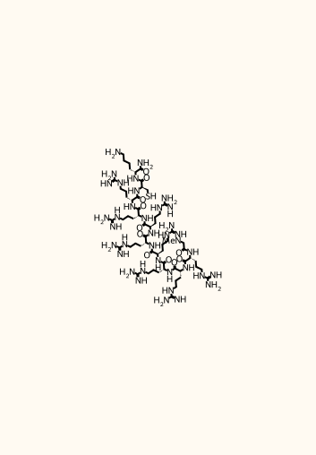 CNCC(=O)N[C@H](CCCNC(=N)N)C(=O)N[C@H](CCCNC(=N)N)C(=O)N[C@H](CCCNC(=N)N)C(=O)N[C@H](CCCNC(=N)N)C(=O)N[C@H](CCCNC(=N)N)C(=O)N[C@H](CCCNC(=N)N)C(=O)N[C@H](CCCNC(=N)N)C(=O)N[C@H](CCCNC(=N)N)C(=O)N[C@H](CS)C(=O)N[C@H](CCCCN)C(N)=O